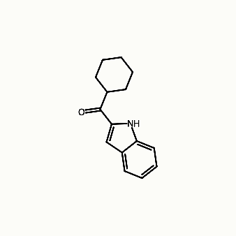 O=C(c1cc2ccccc2[nH]1)C1CCCCC1